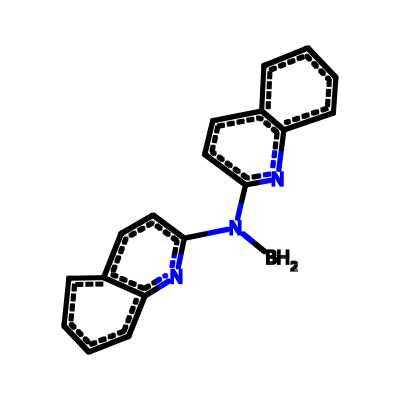 BN(c1ccc2ccccc2n1)c1ccc2ccccc2n1